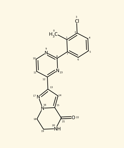 Cc1c(Cl)cccc1-c1nccc(-c2cc3n(n2)CCNC3=O)n1